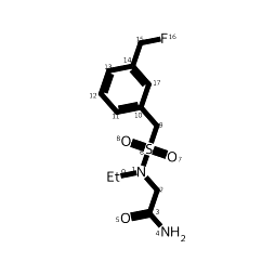 CCN(CC(N)=O)S(=O)(=O)Cc1cccc(CF)c1